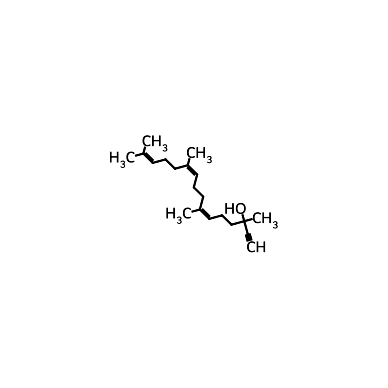 C#CC(C)(O)CCC=C(C)CCC=C(C)CCC=C(C)C